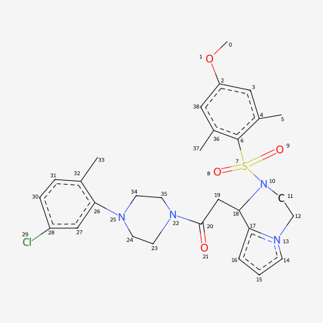 COc1cc(C)c(S(=O)(=O)N2CCn3cccc3C2CC(=O)N2CCN(c3cc(Cl)ccc3C)CC2)c(C)c1